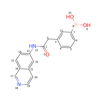 O=C(Cc1cccc(B(O)O)c1)Nc1ccc2cnccc2c1